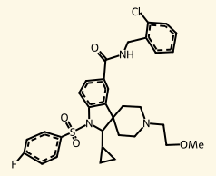 COCCN1CCC2(CC1)c1cc(C(=O)NCc3ccccc3Cl)ccc1N(S(=O)(=O)c1ccc(F)cc1)C2C1CC1